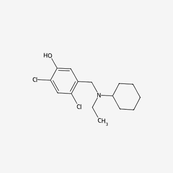 CCN(Cc1cc(O)c(Cl)cc1Cl)C1CCCCC1